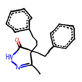 CC1=NNC(=O)C1(Cc1ccccc1)Cc1ccccc1